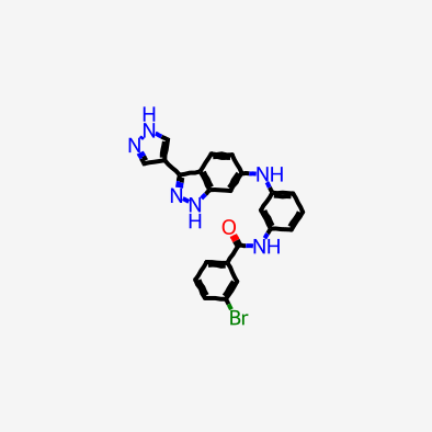 O=C(Nc1cccc(Nc2ccc3c(-c4cn[nH]c4)n[nH]c3c2)c1)c1cccc(Br)c1